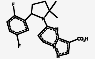 CC1(C)CCC(c2cc(F)ccc2F)N1c1ccn2ncc(C(=O)O)c2n1